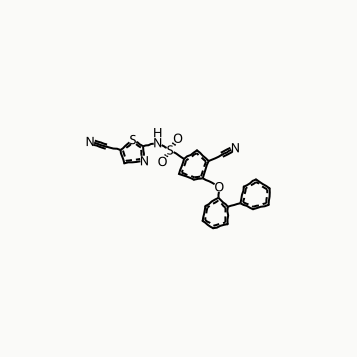 N#Cc1cnc(NS(=O)(=O)c2ccc(Oc3ccccc3-c3ccccc3)c(C#N)c2)s1